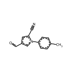 Cc1ccc(-n2cc(C=O)cc2C#N)cc1